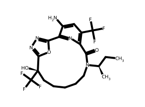 CC[C@@H](C)N1CCCCC[C@](O)(C(F)(F)F)c2nnc(o2)-c2nc(c(C(F)(F)F)cc2N)C1=O